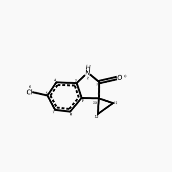 O=C1Nc2cc(Cl)ccc2C12CC2